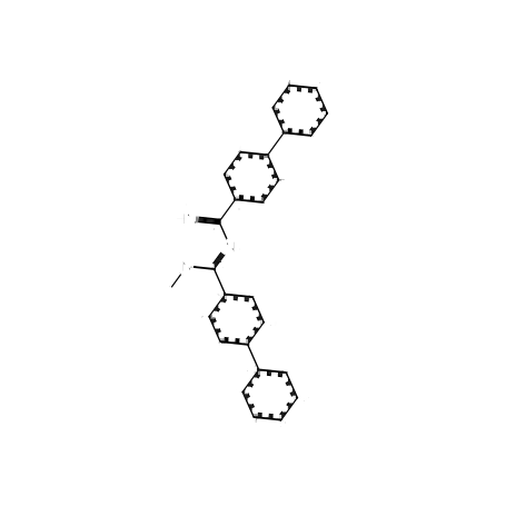 CN/C(=N\C(=N)c1ccc(-c2ccccc2)cc1)c1ccc(-c2ccccc2)cc1